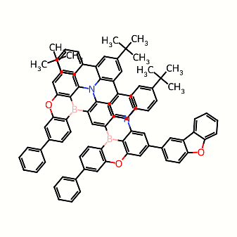 CC(C)(C)c1ccc(N2c3cc4c(cc3B3c5ccc(-c6ccccc6)cc5Oc5cc(-c6ccc7oc8ccccc8c7c6)cc2c53)B2c3ccc(-c5ccccc5)cc3Oc3cc(C(C)(C)C)cc(c32)N4c2c(-c3ccccc3)cc(C(C)(C)C)cc2-c2ccccc2)cc1